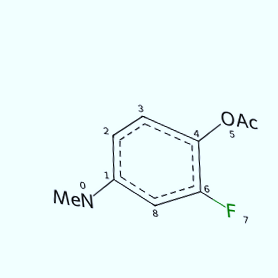 CNc1ccc(OC(C)=O)c(F)c1